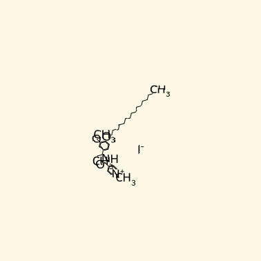 CCCCCCCCCCCCCCCCOc1ccc(C(CC)NC(=O)c2cc[n+](C)cc2)cc1OC.[I-]